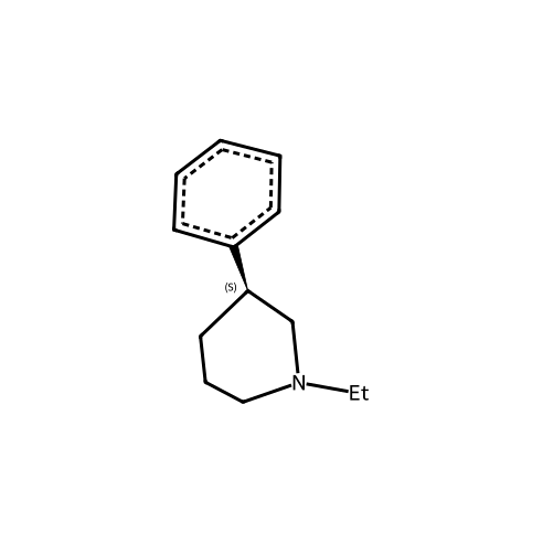 CCN1CCC[C@@H](c2ccccc2)C1